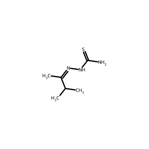 CC(=NNC(N)=S)C(C)C